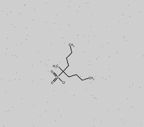 CCCCC(C)(CCCC)S(=O)(=O)Cl